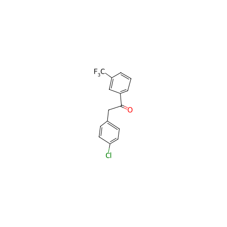 O=C(Cc1ccc(Cl)cc1)c1cccc(C(F)(F)F)c1